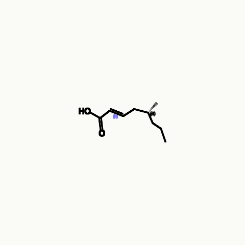 CCC[C@@H](C)C/C=C/C(=O)O